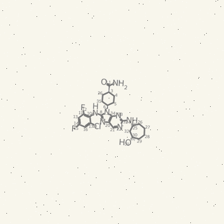 NC(=O)[C@H]1CC[C@@H](n2c(Nc3c(F)cc(F)cc3Cl)nc3cnc(N[C@@H]4CCCC[C@H](O)C4)nc32)CC1